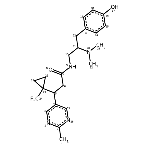 Cc1ncc(C(CC(=O)NCC(Cc2ccc(O)cc2)N(C)C)C2(C(F)(F)F)CC2)cn1